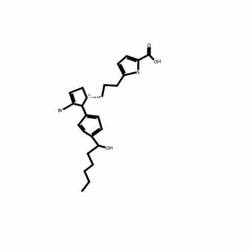 CCCCCC(O)c1ccc(C2C(Br)=CC[C@@H]2CCCc2ccc(C(=O)O)s2)cc1